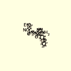 CCOC(C)(C)C=C(C#N)C(=O)N1CC(n2c(=O)n(-c3ccc(Oc4ccccc4)cc3)c3c(N)ncnc32)C1